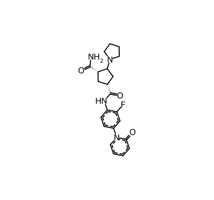 NC(=O)[C@H]1C[C@@H](C(=O)Nc2ccc(-n3ccccc3=O)cc2F)CC1N1CCCC1